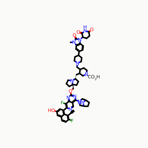 C#Cc1c(F)ccc2cc(O)cc(-c3ncc4c(N5CC6CCC(C5)N6)nc(OC[C@@]56CCCN5[C@H](CC5CN(C(=O)O)CCC5CN5CCC(c7ccc8c(c7)n(C)c(=O)n8C7CCC(=O)NC7=O)CC5)CC6)nc4c3F)c12